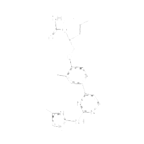 Cc1csc(Nc2nccc(-c3ccc(OC[C@](C)(CC(C)C)OC(N)=O)c(C)c3)n2)n1